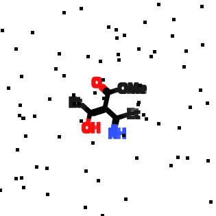 CCC(=N)/C(C(=O)OC)=C(\O)CC